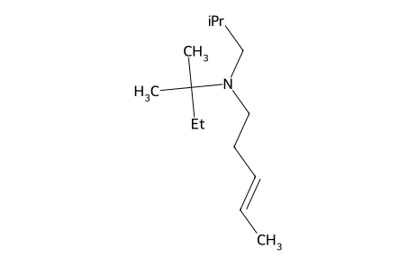 CC=CCCN(CC(C)C)C(C)(C)CC